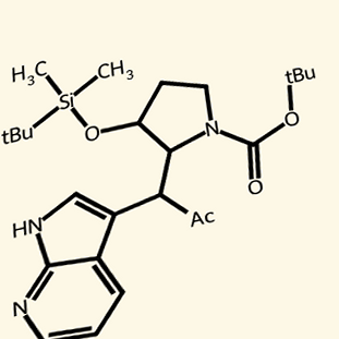 CC(=O)C(c1c[nH]c2ncccc12)C1C(O[Si](C)(C)C(C)(C)C)CCN1C(=O)OC(C)(C)C